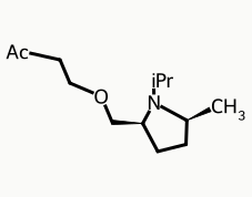 CC(=O)CCOC[C@@H]1CC[C@H](C)N1C(C)C